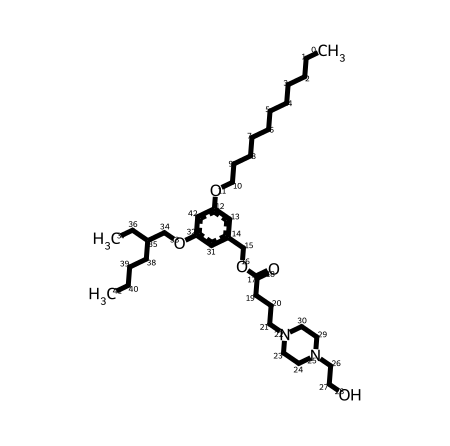 CCCCCCCCCCCOc1cc(COC(=O)CCCN2CCN(CCO)CC2)cc(OCC(CC)CCCC)c1